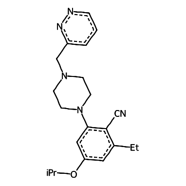 CCc1cc(OC(C)C)cc(N2CCN(Cc3cccnn3)CC2)c1C#N